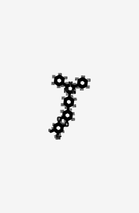 Cc1cc2c(cc1Br)Oc1ccc(-c3ccc(-c4nc(-c5ccccc5)nc(-c5ccccc5)n4)cc3)cc1O2